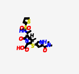 CC(NS(=O)(=O)c1cccs1)[C@H]1C(=O)N2C(C(=O)O)=C(S[C@@H]3CN[C@H](C(=O)N(C)C)C3)[C@H](C)[C@H]12